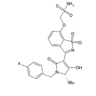 CC(C)(C)[C@H]1C(O)=C(C2=NS(=O)(=O)c3c(OCS(N)(=O)=O)cccc32)C(=O)N1Cc1ccc(F)cc1